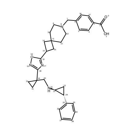 O=C(O)c1ccc(CN2CCC3(CC2)CC(c2nc(C4(CN[C@H]5C[C@@H]5c5ccccc5)CC4)no2)C3)cc1